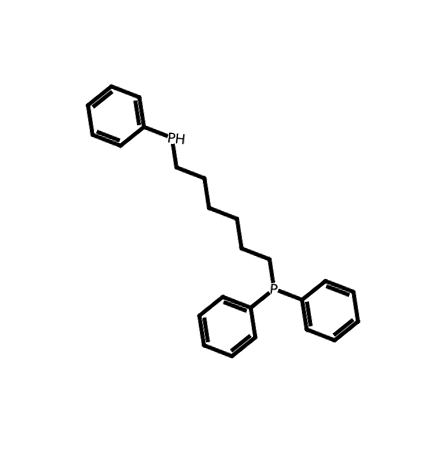 c1ccc(PCCCCCCP(c2ccccc2)c2ccccc2)cc1